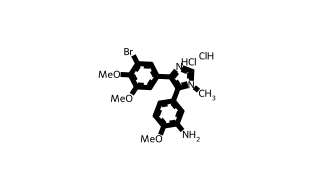 COc1ccc(-c2c(-c3cc(Br)c(OC)c(OC)c3)ncn2C)cc1N.Cl.Cl